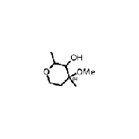 CO[C@@]1(C)CCOC(C)C1O